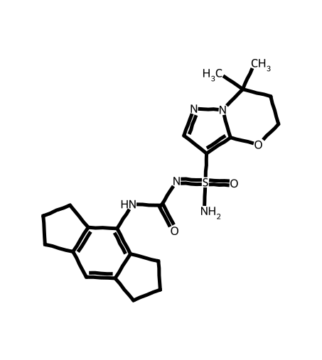 CC1(C)CCOc2c(S(N)(=O)=NC(=O)Nc3c4c(cc5c3CCC5)CCC4)cnn21